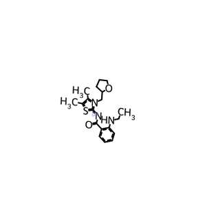 CCNc1ccccc1C(=O)/N=c1\sc(C)c(C)n1CC1CCCO1